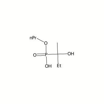 CCCOP(=O)(O)C(C)(O)CC